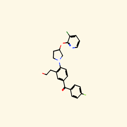 O=C(c1ccc(F)cc1)c1ccc(N2CCC(Oc3ncccc3Cl)C2)c(CCO)c1